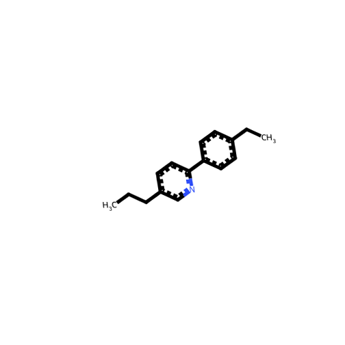 CCCc1ccc(-c2ccc(CC)cc2)nc1